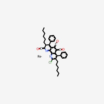 CCCCCCc1c(Cl)nc2c3c(c(=C=O)c(=C=O)c2c1-c1ccccc1)=C(c1ccccc1)C(CCCCCC)C(=C=O)N=3.[Re]